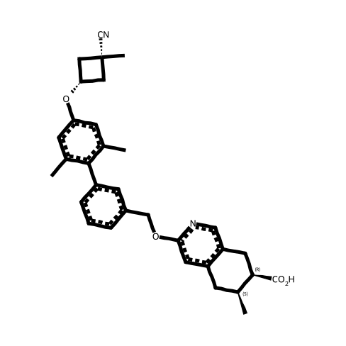 Cc1cc(O[C@H]2C[C@@](C)(C#N)C2)cc(C)c1-c1cccc(COc2cc3c(cn2)C[C@@H](C(=O)O)[C@@H](C)C3)c1